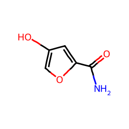 NC(=O)c1cc(O)co1